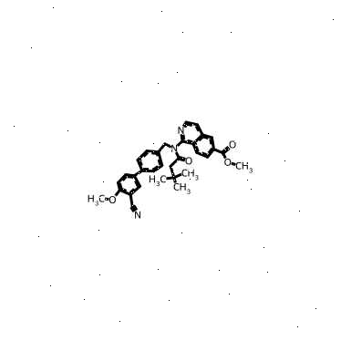 COC(=O)c1ccc2c(N(Cc3ccc(-c4ccc(OC)c(C#N)c4)cc3)C(=O)CC(C)(C)C)nccc2c1